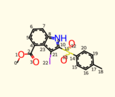 COC(=O)c1cccc2[nH]c(S(=O)(=O)c3ccc(C)cc3)c(I)c12